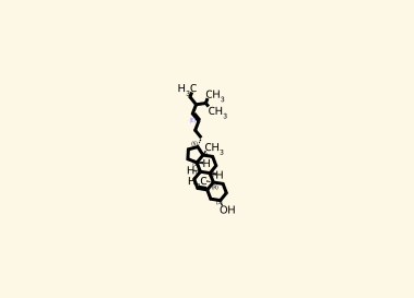 CCC(/C=C/CC[C@H]1CC[C@H]2[C@@H]3CC=C4C[C@@H](O)CC[C@]4(C)[C@H]3CC[C@]12C)C(C)C